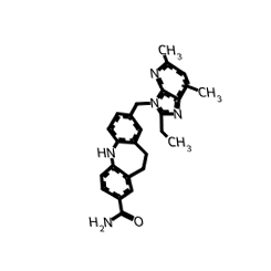 CCc1nc2c(C)cc(C)nc2n1Cc1ccc2c(c1)CCc1cc(C(N)=O)ccc1N2